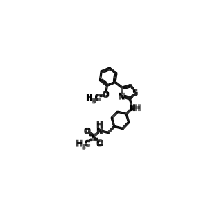 COc1ccccc1-c1csc(NC2CCC(CNS(C)(=O)=O)CC2)n1